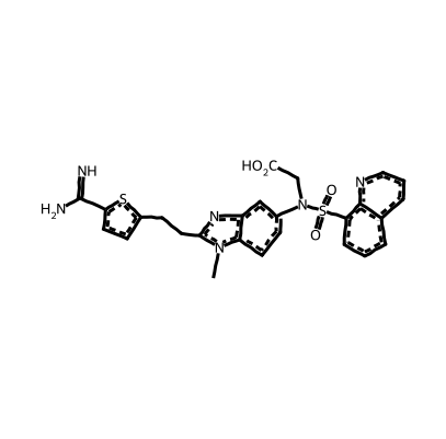 Cn1c(CCc2ccc(C(=N)N)s2)nc2cc(N(CC(=O)O)S(=O)(=O)c3cccc4cccnc34)ccc21